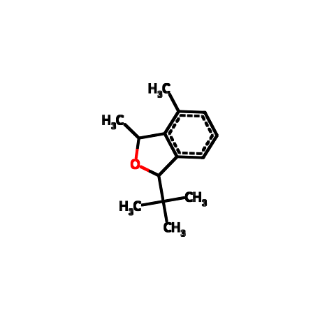 Cc1cccc2c1C(C)OC2C(C)(C)C